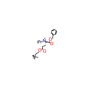 CC(C)N(C)[C@@H](CCC(=O)OCC[Si](C)(C)C)C(=O)OCc1ccccc1